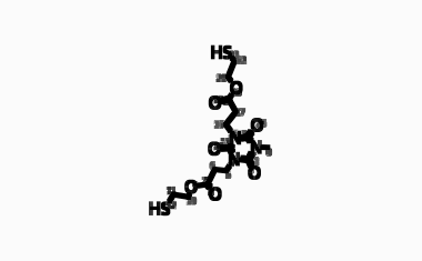 Cn1c(=O)n(CCC(=O)OCCS)c(=O)n(CCC(=O)OCCS)c1=O